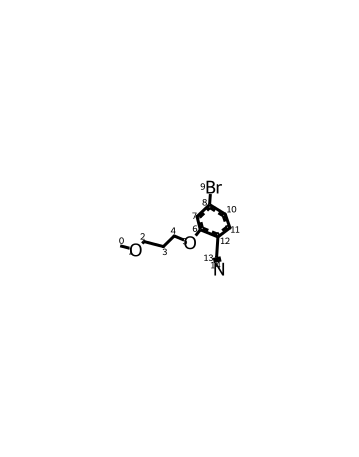 COCCCOc1cc(Br)ccc1C#N